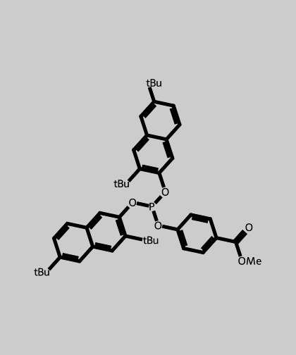 COC(=O)c1ccc(OP(Oc2cc3ccc(C(C)(C)C)cc3cc2C(C)(C)C)Oc2cc3ccc(C(C)(C)C)cc3cc2C(C)(C)C)cc1